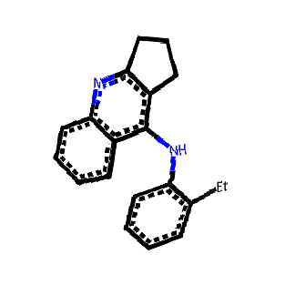 CCc1ccccc1Nc1c2c(nc3ccccc13)CCC2